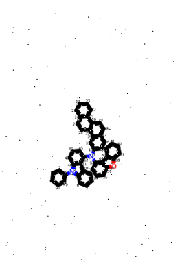 c1ccc(-n2c3ccccc3c3c(N(c4ccc5ccc6c7ccccc7ccc6c5c4)c4cccc5oc6ccccc6c45)cccc32)cc1